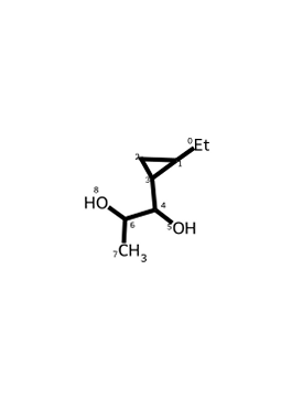 CCC1CC1C(O)C(C)O